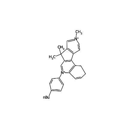 CCCCc1ccc(-[n+]2cc3c(c4c2C=CCC4)-c2cc[n+](C)cc2C3(C)C)cc1